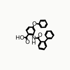 O=C(O)c1ccc(Oc2ccccc2)cc1NC(=O)c1ccccc1-c1ccccc1